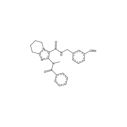 COc1cccc(CNC(=O)c2c(N(C)C(=O)c3ccccc3)nc3n2CCCC3)c1